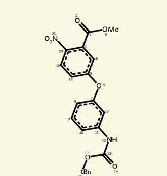 COC(=O)c1cc(Oc2cccc(NC(=O)OC(C)(C)C)c2)ccc1[N+](=O)[O-]